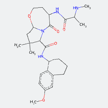 CNC(C)C(=O)NC1CCOC2CC(C)(C)C(C(=O)NC3CCCc4cc(OC)ccc43)N2C1=O